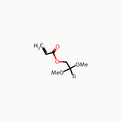 C=CC(=O)OC[C]([Ti])(OC)OC